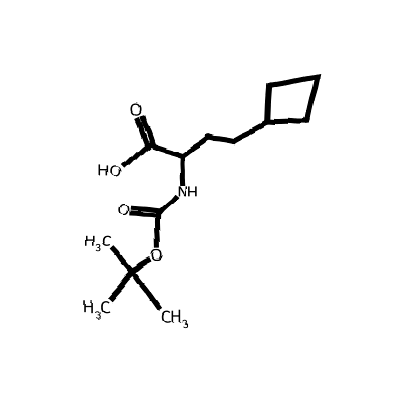 CC(C)(C)OC(=O)NC(CCC1CCC1)C(=O)O